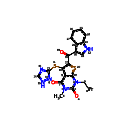 CC(C)Cn1c(=O)n(C)c(=O)c2c(Sc3nc[nH]n3)c(C(=O)c3c[nH]c4ccccc34)sc21